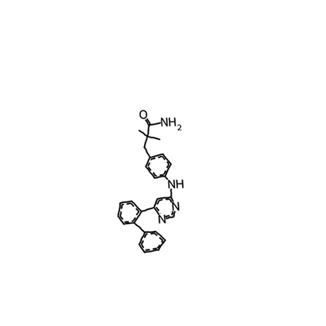 CC(C)(Cc1ccc(Nc2cc(-c3ccccc3-c3ccccc3)ncn2)cc1)C(N)=O